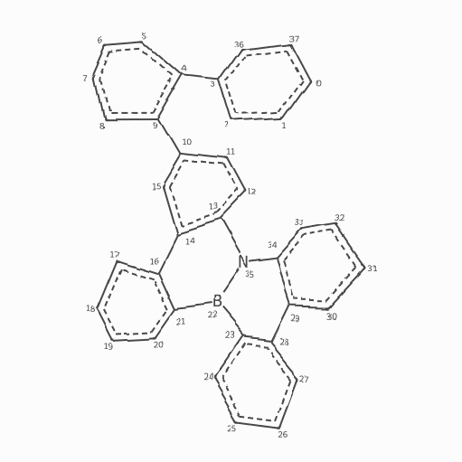 c1ccc(-c2ccccc2-c2ccc3c(c2)-c2ccccc2B2c4ccccc4-c4ccccc4N23)cc1